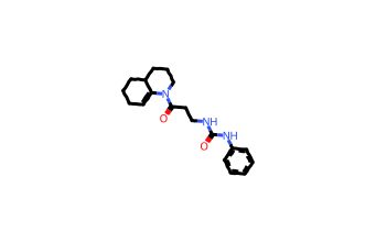 O=C(NCCC(=O)N1CCCC2CCCC=C21)Nc1ccccc1